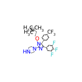 C[Si](C)(C)CCOCn1c(N2CCNCC2)nc(-c2cc(F)c(F)c(F)c2)c1-c1ccc(C(F)(F)F)cc1